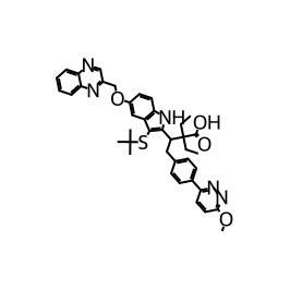 CCC(CC)(C(=O)O)C(Cc1ccc(-c2ccc(OC)nn2)cc1)c1[nH]c2ccc(OCc3cnc4ccccc4n3)cc2c1SC(C)(C)C